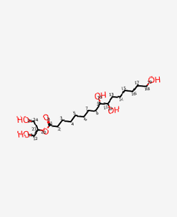 O=C(CCCCCCCC(O)C(O)CCCCCCO)OC(CO)CO